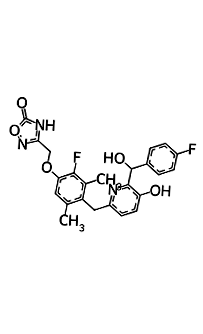 Cc1cc(OCc2noc(=O)[nH]2)c(F)c(C)c1Cc1ccc(O)c(C(O)c2ccc(F)cc2)n1